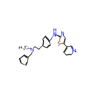 CN(CCc1ccc(Nc2ncc(-c3cccnc3)s2)cc1)Cc1ccccc1